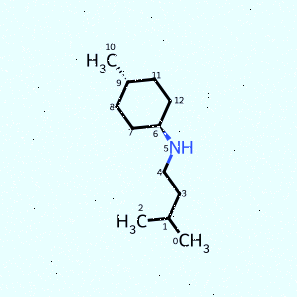 CC(C)CCN[C@H]1CC[C@H](C)CC1